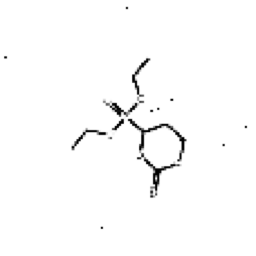 CCOP(=O)(OCC)C1CCOC(=O)O1